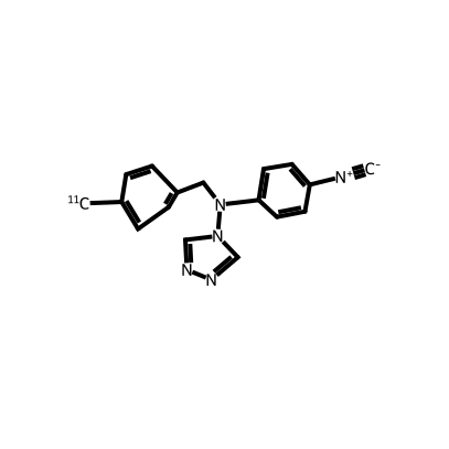 [C-]#[N+]c1ccc(N(Cc2ccc([11CH3])cc2)n2cnnc2)cc1